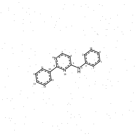 c1ccc(Nc2ccnc(-c3ccccc3)n2)cc1